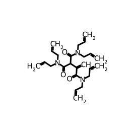 C=CCN(CC=C)C(=O)C(=C)C(C(=O)N(CC=C)CC=C)C(=O)N(CC=C)CC=C